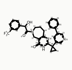 O=C(C(O)c1cccc(C(F)(F)F)c1)N1CCCc2nc(C3(c4cncc(-c5ccccc5)c4)CC3)[nH]c(=O)c2C1